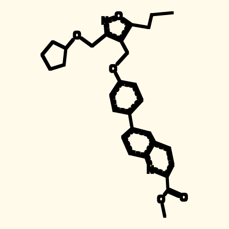 CCCc1onc(COC2CCCC2)c1COc1ccc(-c2ccc3nc(C(=O)OC)ccc3c2)cc1